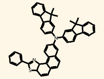 CC1(C)c2ccccc2-c2ccc(N(c3ccc4c(c3)C(C)(C)c3ccccc3-4)c3ccc4c5c(ccc4c3)C=CC3SC(c4ccccc4)=NC53)cc21